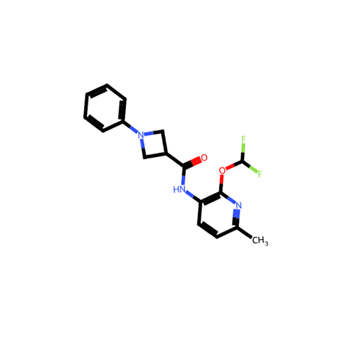 Cc1ccc(NC(=O)C2CN(c3ccccc3)C2)c(OC(F)F)n1